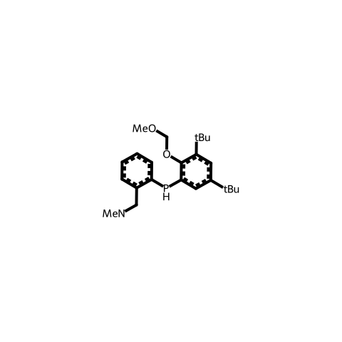 CNCc1ccccc1Pc1cc(C(C)(C)C)cc(C(C)(C)C)c1OCOC